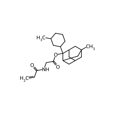 C=CC(=O)NCC(=O)OC1(C2CCCC(C)C2)C2CC3CC1CC(C)(C3)C2